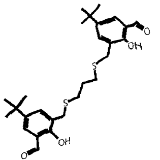 CC(C)(C)c1cc(C=O)c(O)c(CSCCCSCc2cc(C(C)(C)C)cc(C=O)c2O)c1